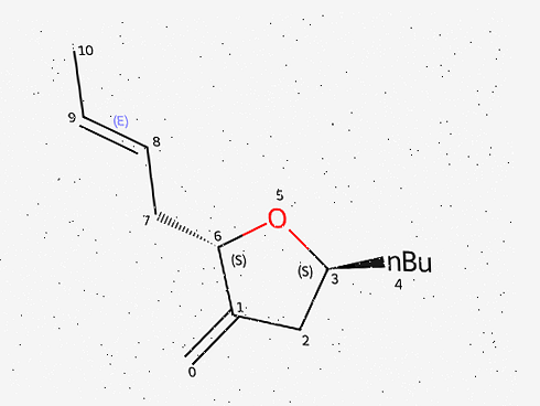 C=C1C[C@H](CCCC)O[C@H]1C/C=C/C